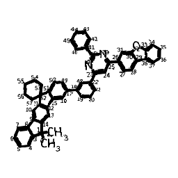 CC1(C)c2ccccc2-c2cc3c(cc21)-c1cc(-c2cccc(-c4cc(-c5ccc6c(c5)oc5ccccc56)nc(-c5ccccc5)n4)c2)ccc1C31CCCCC1